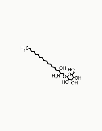 CCCCCCCCCCCCC/C=C/[C@@H](O)[C@@H](N)CO[C@@H]1OC(CO)[C@@H](O)[C@H](O)C1O